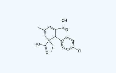 CCC1(C(=O)O)C=C(C)C=C(C(=O)O)C1c1ccc(Cl)cc1